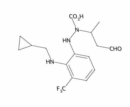 CC(CC=O)N(Nc1cccc(C(F)(F)F)c1NCC1CC1)C(=O)O